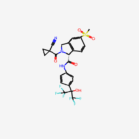 CS(=O)(=O)c1ccc2c(c1)CN(C(=O)C1(C#N)CC1)[C@H]2C(=O)Nc1ccc(C(O)(C(F)(F)F)C(F)(F)F)cc1